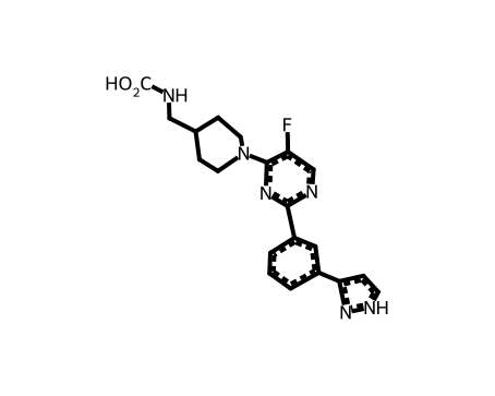 O=C(O)NCC1CCN(c2nc(-c3cccc(-c4cc[nH]n4)c3)ncc2F)CC1